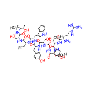 CC(C)C[C@H](NC(=O)[C@H](Cc1c[nH]c2ccccc12)NC(=O)[C@H](Cc1ccc(O)cc1)NC(=O)[C@H](CO)NC(=O)[C@H](Cc1ccc(O)cc1)NC(=O)[C@H](CC(=O)O)NC(=O)[C@H](CC(=O)O)NC(=O)[C@@H](N)CCCNC(=N)N)C(=O)N[C@@H](CO)C(=O)N[C@H](C(=O)O)[C@@H](C)O